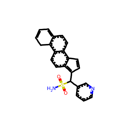 NS(=O)(=O)C(C1=c2ccc3c4c(ccc3c2C=C1)=CC=CC4)c1cccnc1